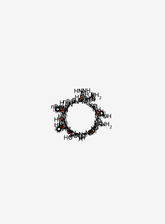 CCCCC[C@H]1C(=O)N(C)[C@@H](CCCC)C(=O)N[C@@H](CCCNC(=N)N)C(=O)N[C@H](C(=O)NCC(N)=O)CSCC(=O)N[C@@H](Cc2ccc(O)cc2)C(=O)N(C)[C@@H](C)C(=O)N[C@@H](CCCN)C(=O)N2CCC[C@H]2C(=O)N[C@@H](C)C(=O)N[C@@H](CC(C)C)C(=O)N2C[C@@H](O)C[C@H]2C(=O)N[C@@H](Cc2c[nH]c3ccccc23)C(=O)N[C@@H](CO)C(=O)N[C@@H](Cc2c[nH]c3ccccc23)C(=O)N1C